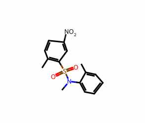 Cc1ccccc1N(C)S(=O)(=O)c1cc([N+](=O)[O-])ccc1C